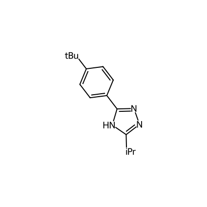 CC(C)c1nnc(-c2ccc(C(C)(C)C)cc2)[nH]1